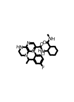 CNC(=O)C1CCCCC1NC(=O)c1cnc2c(n1)N(C(C)c1cc(F)cc(Cl)c1F)CCN2